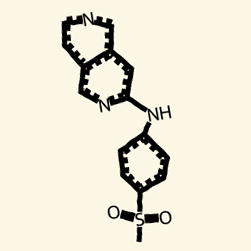 CS(=O)(=O)c1ccc(Nc2cc3cnccc3cn2)cc1